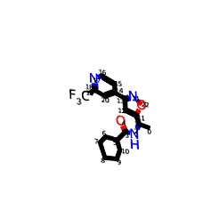 CC(NC(=O)C1CCCCC1)c1cc(-c2ccnc(C(F)(F)F)c2)no1